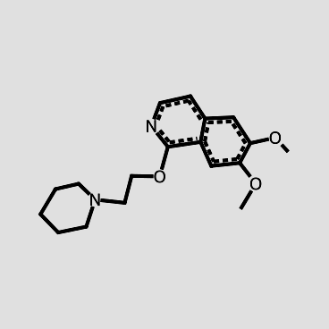 COc1cc2ccnc(OCCN3CCCCC3)c2cc1OC